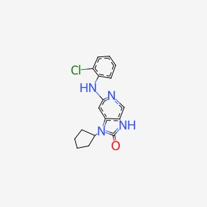 O=c1[nH]c2cnc(Nc3ccccc3Cl)cc2n1C1CCCC1